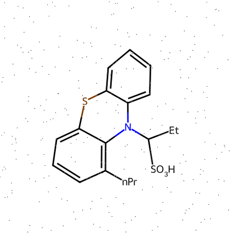 CCCc1cccc2c1N(C(CC)S(=O)(=O)O)c1ccccc1S2